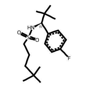 CC(C)(C)CCCS(=O)(=O)N[C@H](c1ccc(F)cc1)C(C)(C)C